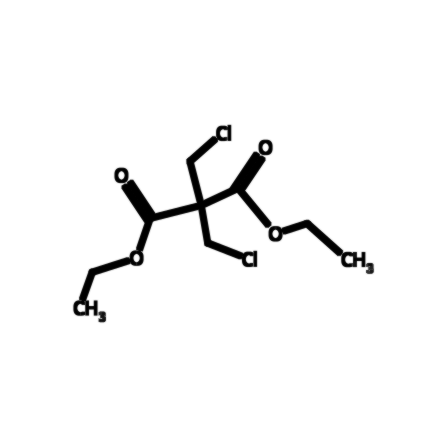 CCOC(=O)C(CCl)(CCl)C(=O)OCC